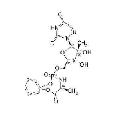 C[C@H](N[P@](=O)(OC[C@H]1O[C@@H](n2ncc(=O)[nH]c2=O)[C@](C)(O)[C@@H]1O)Oc1ccccc1)C(=O)O